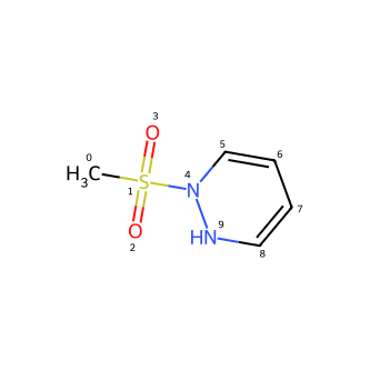 CS(=O)(=O)N1C=CC=CN1